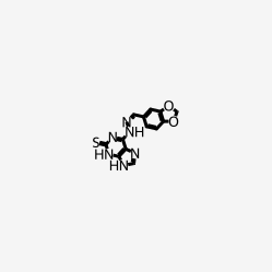 S=c1nc(N/N=C\c2ccc3c(c2)OCO3)c2nc[nH]c2[nH]1